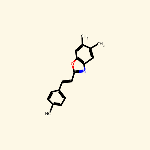 Cc1cc2nc(C=Cc3ccc(C#N)cc3)oc2cc1C